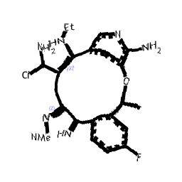 CCN/C1=C(\C(N)Cl)C/C(=N/NC)C(=N)c2ccc(F)cc2C(C)Oc2cc1cnc2N